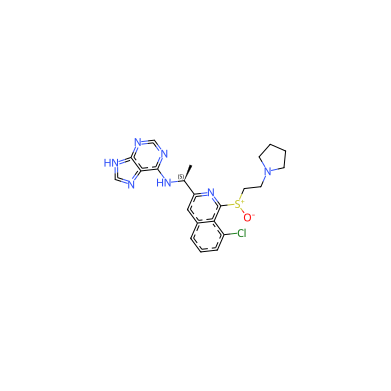 C[C@H](Nc1ncnc2[nH]cnc12)c1cc2cccc(Cl)c2c([S+]([O-])CCN2CCCC2)n1